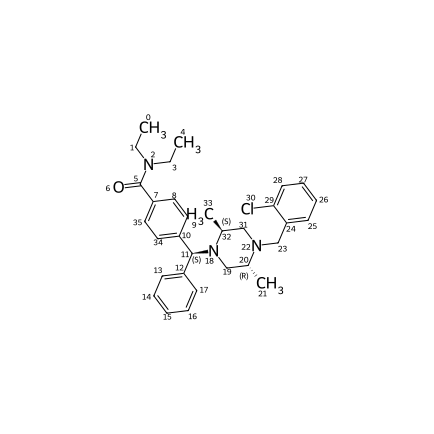 CCN(CC)C(=O)c1ccc([C@H](c2ccccc2)N2C[C@@H](C)N(Cc3ccccc3Cl)C[C@@H]2C)cc1